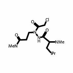 CNC(=O)CCN(NC(=O)C(CC(C)C)NC)C(=O)CCl